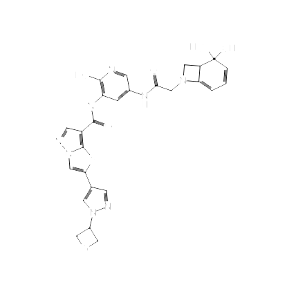 Cc1ncc(NC(=O)CN2CC3C2=CC=CC3(C)C)cc1NC(=O)c1cnn2cc(-c3cnn(C4COC4)c3)sc12